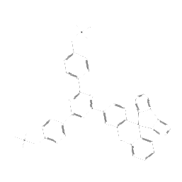 FC(F)(F)Oc1ccc(-c2nc(-c3ccc(OC(F)(F)F)cc3)nc(-c3ccc4c(c3)Sc3ccccc3C43c4ccccc4-c4ccccc43)n2)cc1